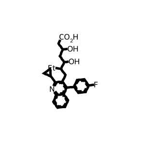 CCC(Cc1c(C2CC2)nc2ccccc2c1-c1ccc(F)cc1)C(O)CC(O)CC(=O)O